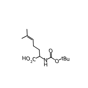 CC(C)=CCCC(NC(=O)OC(C)(C)C)C(=O)O